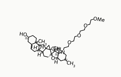 COCCOCCOCCOCCN1C[C@@H](C)C[C@H]2O[C@]3(CC[C@H]4[C@@H]5CC=C6C[C@@H](O)CC[C@]6(C)[C@H]5CC45CC53C)[C@H](C)[C@@H]21